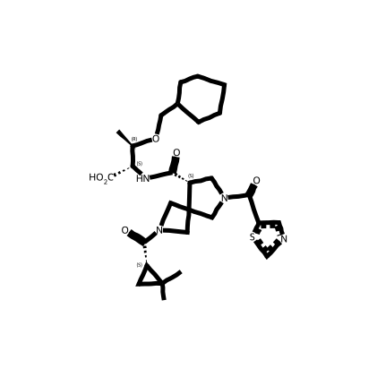 C[C@@H](OCC1CCCCC1)[C@H](NC(=O)[C@@H]1CN(C(=O)c2cncs2)CC12CN(C(=O)[C@H]1CC1(C)C)C2)C(=O)O